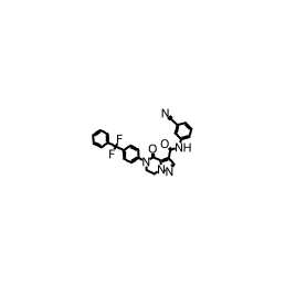 N#Cc1cccc(NC(=O)c2cnn3c2C(=O)N(c2ccc(C(F)(F)c4ccccc4)cc2)CC3)c1